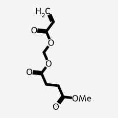 C=CC(=O)OCOC(=O)CCC(=O)OC